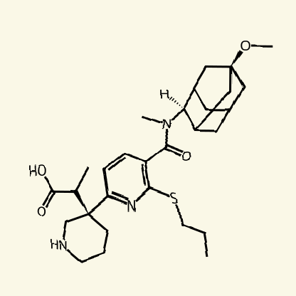 CCCSc1nc([C@]2(C(C)C(=O)O)CCCNC2)ccc1C(=O)N(C)[C@H]1C2CC3CC1C[C@@](OC)(C3)C2